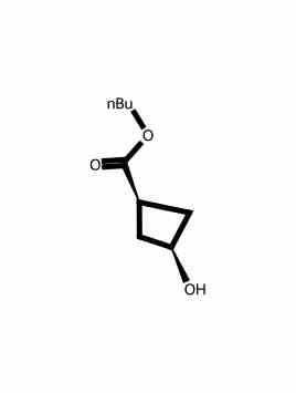 CCCCOC(=O)[C@H]1C[C@@H](O)C1